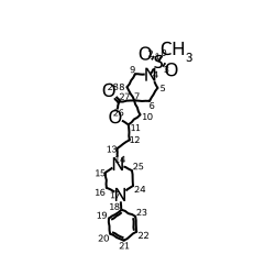 CS(=O)(=O)N1CCC2(CC1)CC(CCN1CCN(c3ccccc3)CC1)OC2=O